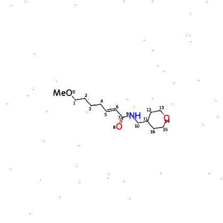 COCCCCC=CC(=O)NCC1CCOCC1